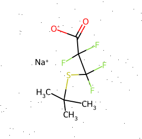 CC(C)(C)SC(F)(F)C(F)(F)C(=O)[O-].[Na+]